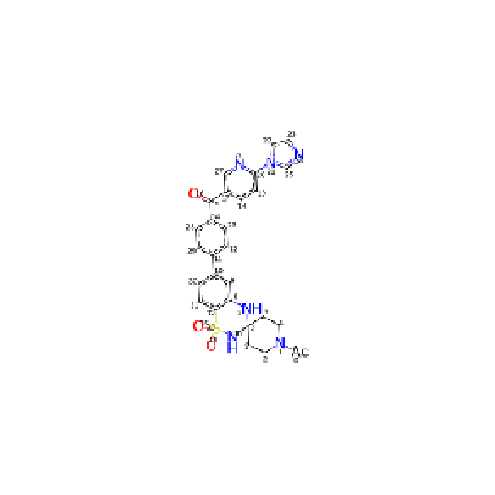 CC(=O)N1CCC2(CC1)Nc1cc(-c3ccc(C(=O)c4ccc(-n5ccnc5)nc4)cc3)ccc1S(=O)(=O)N2